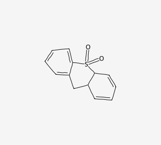 O=S1(=O)c2ccccc2CC2C=CC=CC21